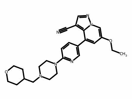 CCOc1cc(-c2ccc(N3CCN(CC4CCOCC4)CC3)nc2)c2c(C#N)cnn2c1